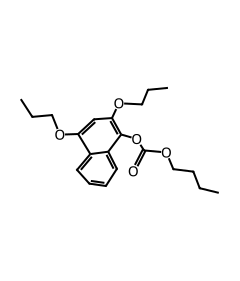 CCCCOC(=O)Oc1c(OCCC)cc(OCCC)c2ccccc12